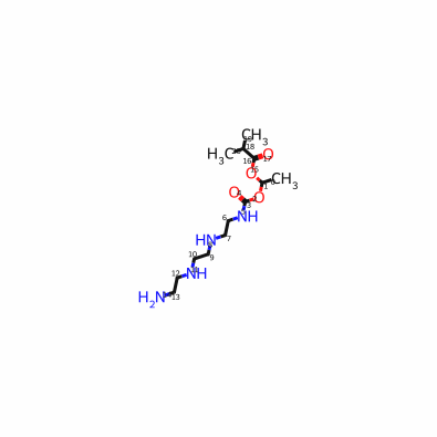 CC(OC(=O)NCCNCCNCCN)OC(=O)C(C)C